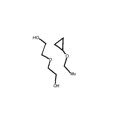 CCC(C)COC1CC1.OCCOCCO